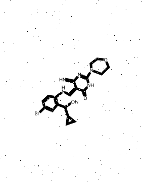 N=C1N=C(N2CCOCC2)NC(=O)/C1=C/Nc1ccc(Br)cc1C(O)C1CC1